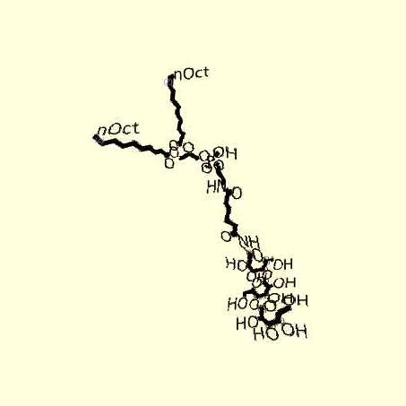 CCCCCCCC/C=C\CCCCCCCC(=O)OCC(COP(=O)(O)OCCNC(=O)CCCCC(=O)NC[C@@H]1O[C@@H](CO)[C@@H](O[C@@H]2OC(CO)[C@H](O[C@H]3OC(CO)[C@H](O)[C@H](O)C3O)[C@H](O)C2O)C(O)C1O)OC(=O)CCCCCCC/C=C\CCCCCCCC